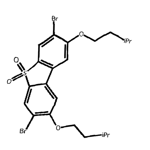 CC(C)CCOc1cc2c(cc1Br)S(=O)(=O)c1cc(Br)c(OCCC(C)C)cc1-2